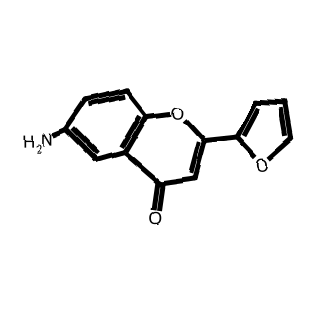 Nc1ccc2oc(-c3ccco3)cc(=O)c2c1